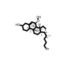 CC(C)CCC[C@@H](C)[C@H]1CC[C@H]2[C@@H]3[C@H](OO)C=C4CC(O)CC[C@]4(C)[C@H]3CC[C@]12C